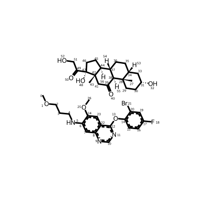 COCCCNc1cc2ncnc(Oc3ccc(F)cc3Br)c2cc1OC.C[C@]12CC[C@@H](O)C[C@H]1CC[C@@H]1[C@@H]2C(=O)C[C@@]2(C)[C@H]1CC[C@]2(O)C(=O)CO